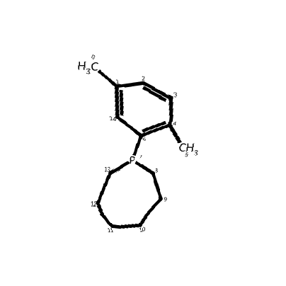 Cc1ccc(C)c(P2CCCCCC2)c1